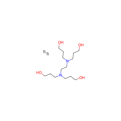 OCCCN(CCCO)CCN(CCCO)CCCO.[Ti].[Ti]